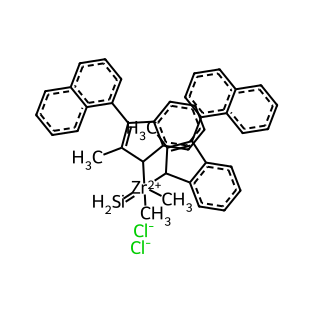 CC1=C(c2cccc3ccccc23)c2ccccc2[CH]1[Zr+2]([CH3])([CH3])(=[SiH2])[CH]1C(C)=C(c2cccc3ccccc23)c2ccccc21.[Cl-].[Cl-]